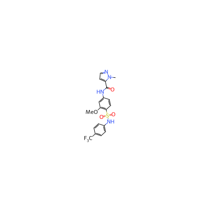 COc1cc(NC(=O)c2ccnn2C)ccc1S(=O)(=O)Nc1ccc(C(F)(F)F)cc1